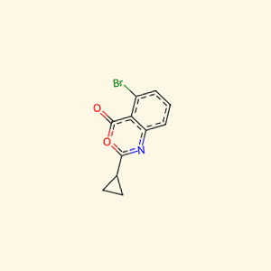 O=c1oc(C2CC2)nc2cccc(Br)c12